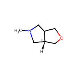 CN1CC2COC[C@@H]2C1